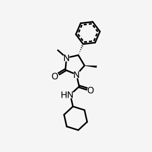 C[C@@H]1[C@@H](c2ccccc2)N(C)C(=O)N1C(=O)NC1CCCCC1